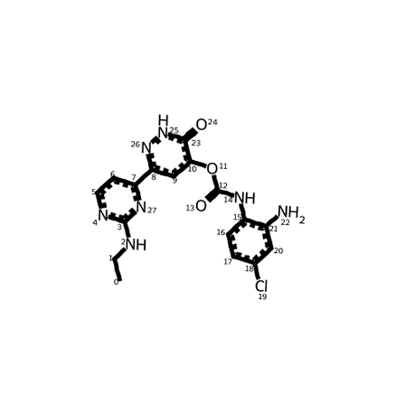 CCNc1nccc(-c2cc(OC(=O)Nc3ccc(Cl)cc3N)c(=O)[nH]n2)n1